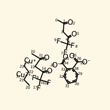 CC(=O)CC(=O)C(F)(F)F.CC(=O)CC(=O)C(F)(F)F.CCC[CH2][Cu+].O=C([O-])c1ccccc1C(=O)[O-].[Cu+2]